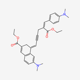 CCOC(=O)C(=Cc1ccc(N(C)C)cc1)CC#CC=C1CC(C(=O)OCC)=Cc2ccc(N(C)C)cc21